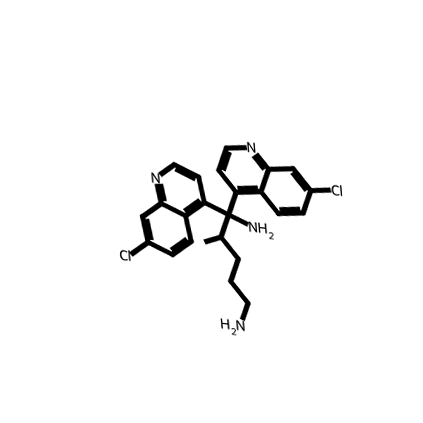 CC(CCCN)C(N)(c1ccnc2cc(Cl)ccc12)c1ccnc2cc(Cl)ccc12